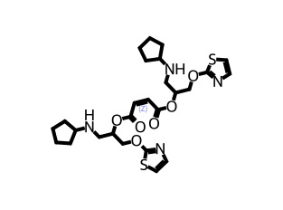 O=C(/C=C\C(=O)OC(CNC1CCCC1)COc1nccs1)OC(CNC1CCCC1)COc1nccs1